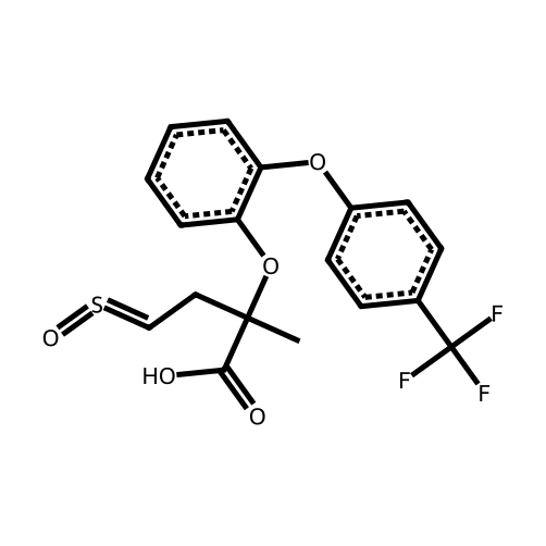 CC(CC=S=O)(Oc1ccccc1Oc1ccc(C(F)(F)F)cc1)C(=O)O